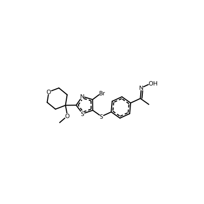 COC1(c2nc(Br)c(Sc3ccc(C(C)=NO)cc3)s2)CCOCC1